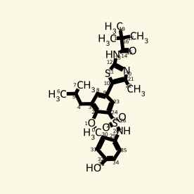 COc1c(CC(C)C)cc(-c2sc(NC(=O)C(C)(C)C)nc2C)cc1S(=O)(=O)Nc1ccc(O)cc1